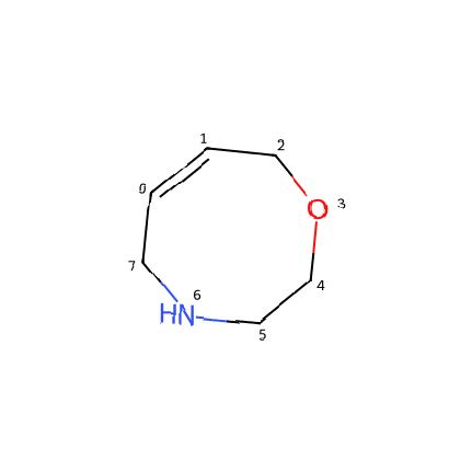 C1=CCOCCNC1